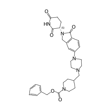 O=C1CC[C@H](N2Cc3cc(N4CCN(CC5CCN(C(=O)OCc6ccccc6)CC5)CC4)ccc3C2=O)C(=O)N1